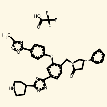 Cc1noc(-c2ccc(Oc3cc(-c4nnc(C5CCNCC5)s4)ccc3CN3C[C@H](c4ccccc4)CC3=O)cc2)n1.O=C(O)C(F)(F)F